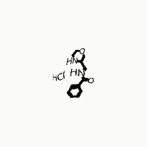 Cl.O=C(NCC1COCCN1)c1ccccc1